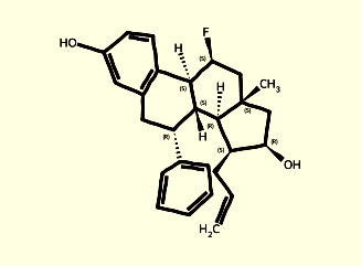 C=CC[C@H]1[C@H]2[C@H]3[C@@H](c4ccc(O)cc4C[C@H]3c3ccccc3)[C@@H](F)C[C@]2(C)C[C@H]1O